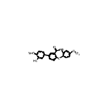 COc1ccc(-c2ccc3c(c2)C(=O)Nc2cc(OC(F)(F)F)ccc2O3)cc1O